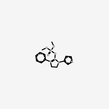 COP(=O)(OC)OS1=S(c2ccccc2)CCN1c1ccsc1